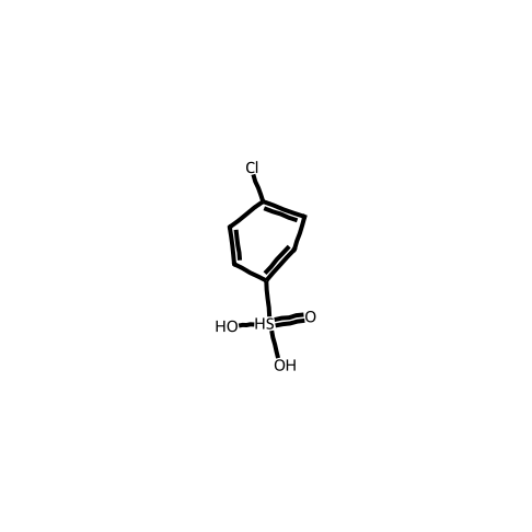 O=[SH](O)(O)c1ccc(Cl)cc1